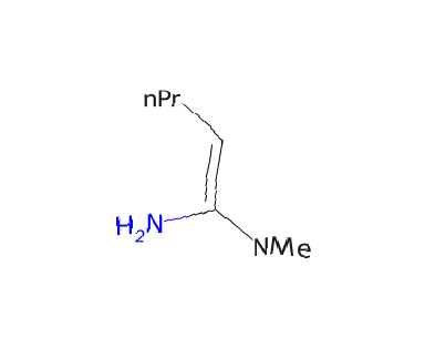 CCC/C=C(\N)NC